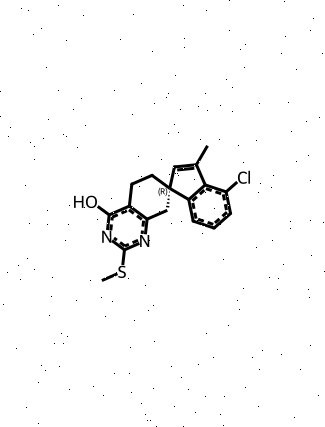 CSc1nc(O)c2c(n1)C[C@@]1(C=C(C)c3c(Cl)cccc31)CC2